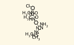 Cc1c(C(=O)Nc2ccc(-c3nc(-c4csc(N(C)C)n4)cnc3N)cc2)c(=O)n(-c2cccc(Cl)c2)n1C